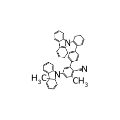 Cc1cc(N2c3ccccc3C3(C)C=CC=CC23)cc(-c2ccc(C3=C(n4c5c(c6ccccc64)C=CCC5)CCC=C3)cc2)c1C#N